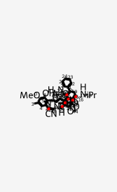 COc1c(C)cc2c(c1O)C1[C@@H]3[C@@H]4S[C@]5(N[C@@H](CNC(C)C)CC(c6ccccc6N)=C5C)C(=O)OC[C@@H](c5c6c(c(C)c(OC(C)=O)c54)OCO6)N3C(C#N)(C2)CN1C